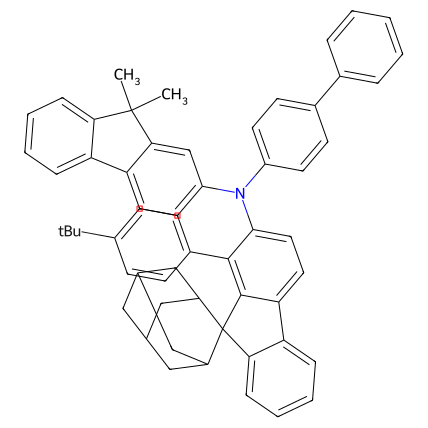 CC(C)(C)c1ccc(-c2c(N(c3ccc(-c4ccccc4)cc3)c3ccc4c(c3)C(C)(C)c3ccccc3-4)ccc3c2C2(c4ccccc4-3)C3CC4CC(C3)CC2C4)cc1